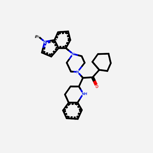 CC(C)n1ccc2c(N3CCN(C(C(=O)C4CCCCC4)C4CCc5ccccc5N4)CC3)cccc21